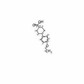 CCOc1ccc(C2CCC(C(=O)O)CC2)cc1